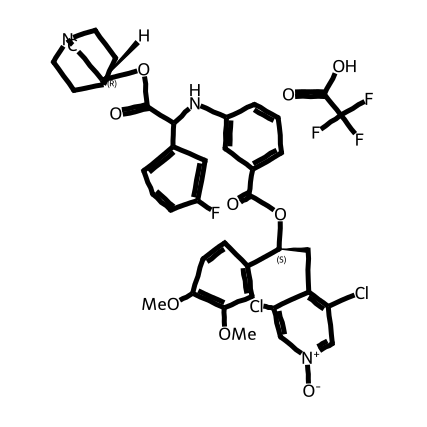 COc1ccc([C@H](Cc2c(Cl)c[n+]([O-])cc2Cl)OC(=O)c2cccc(NC(C(=O)O[C@H]3CN4CCC3CC4)c3cccc(F)c3)c2)cc1OC.O=C(O)C(F)(F)F